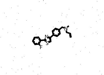 C=CCN(C)Cc1ccc(-c2csc(-c3ccccc3F)n2)cc1